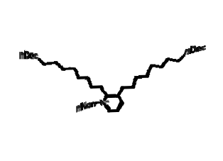 CCCCCCCCCCCCCCCCCCc1ccc[n+](CCCCCCCCC)c1CCCCCCCCCCCCCCCCCC